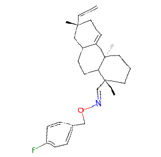 C=C[C@]1(C)CC=C2C(CCC3[C@@](C)(C=NOCc4ccc(F)cc4)CCC[C@]23C)C1